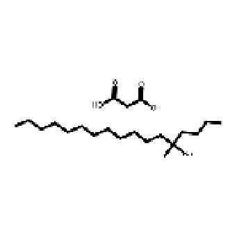 CCCCCCCCCCCC[C](C)([Na])CCCC.O=C(O)CC(=O)O